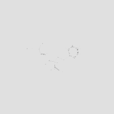 CCCCCC[C@H](O)C=C[C@H]1CCC(=O)N1CCc1ccc(C(=O)O)cc1